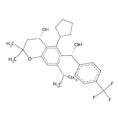 CC(C)c1cc2c(c(C3CCCC3)c1[C@H](O)c1ccc(C(F)(F)F)cc1)[C@@H](O)CC(C)(C)O2